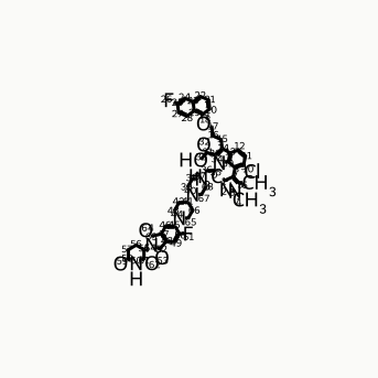 Cc1nn(C)c(C)c1-c1c(Cl)ccc2c(CCCOc3cccc4cc(F)ccc34)c(C(=O)O)n(CCN3CCN(C4CCN(c5cc6c(cc5F)C(=O)N(C5CCC(=O)NC5=O)C6=O)CC4)CC3)c12